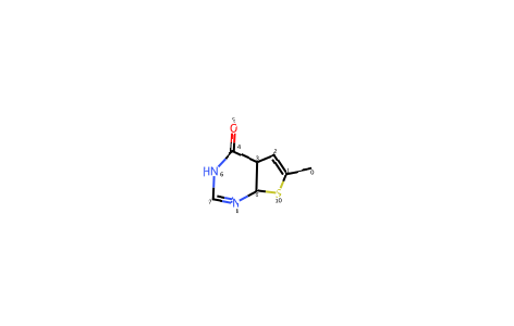 CC1=CC2C(=O)NC=NC2S1